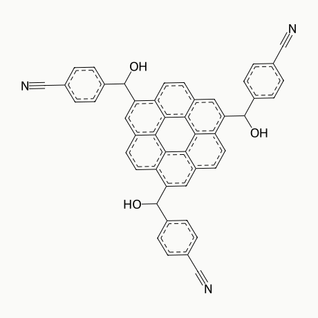 N#Cc1ccc(C(O)c2cc3ccc4c(C(O)c5ccc(C#N)cc5)cc5ccc6c(C(O)c7ccc(C#N)cc7)cc7ccc2c2c7c6c5c4c32)cc1